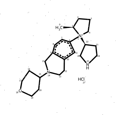 C[C@H]1CCC[N+]1(c1ccc2c(c1)CCN(C1CCOCC1)C2)[C@H]1CCNC1.Cl